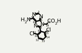 Nc1ncnc2c1nc(-c1c(Cl)cccc1Cl)n2CC(=O)O